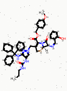 CCCNC(=O)Nc1c[n+](CC2=C(C(=O)OCc3ccc(OC)cc3)N3C(=O)[C@@H](/N=C\c4ccccc4O)[C@H]3SC2)n(C)c1NC(c1ccccc1)(c1ccccc1)c1ccccc1